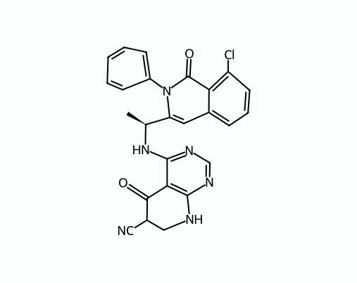 C[C@H](Nc1ncnc2c1C(=O)C(C#N)CN2)c1cc2cccc(Cl)c2c(=O)n1-c1ccccc1